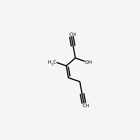 C#CCC=C(C)C(O)C#C